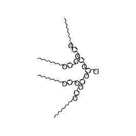 CCCCCCCCCCCCOc1ccc(COc2ccc(COc3cc(CCl)cc(OCc4ccc(OCc5ccc(OCCCCCCCCCCCC)cc5)c(OCc5ccc(OCCCCCCCCCCCC)cc5)c4)c3)cc2OCc2ccc(OCCCCCCCCCCCC)cc2)cc1